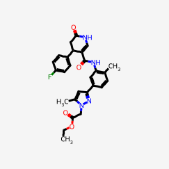 CCOC(=O)Cn1nc(-c2ccc(C)c(NC(=O)C3=CNC(=O)CC3c3ccc(F)cc3)c2)cc1C